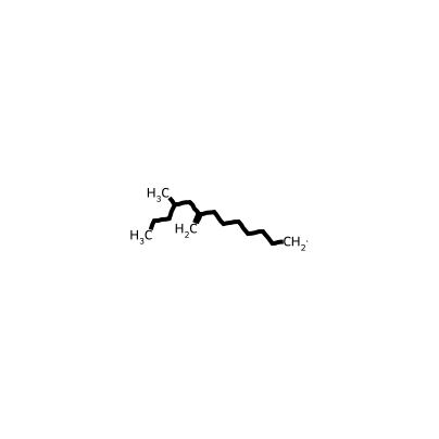 [CH2]CCCCCCC(=C)CC(C)CCC